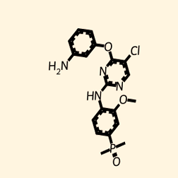 COc1cc(P(C)(C)=O)ccc1Nc1ncc(Cl)c(Oc2cccc(N)c2)n1